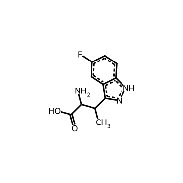 CC(c1n[nH]c2ccc(F)cc12)C(N)C(=O)O